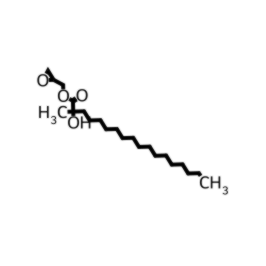 CCCCCCCCCCCCCCCCC(C)(O)C(=O)OCC1CO1